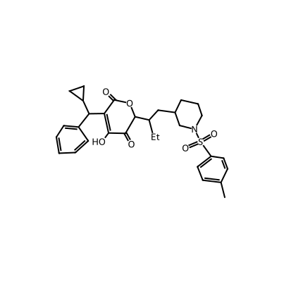 CCC(CC1CCCN(S(=O)(=O)c2ccc(C)cc2)C1)C1OC(=O)C(C(c2ccccc2)C2CC2)=C(O)C1=O